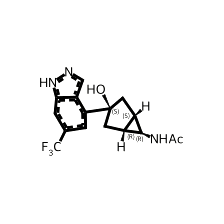 CC(=O)N[C@H]1[C@@H]2C[C@](O)(c3cc(C(F)(F)F)cc4[nH]ncc34)C[C@@H]21